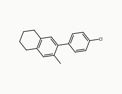 Cc1cc2c(cc1-c1ccc(Cl)cc1)CCCC2